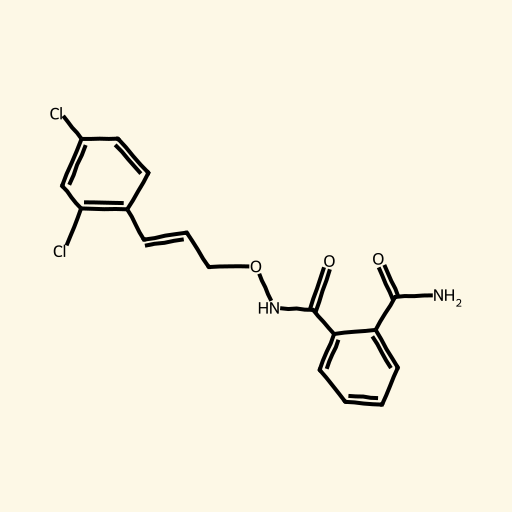 NC(=O)c1ccccc1C(=O)NOCC=Cc1ccc(Cl)cc1Cl